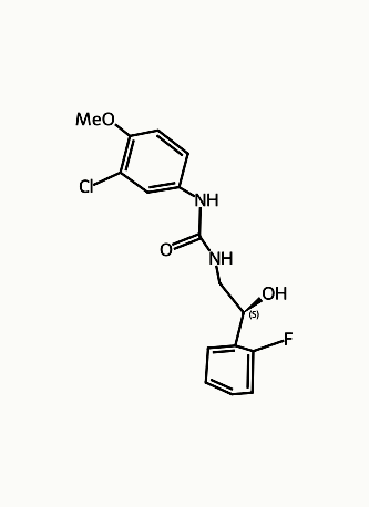 COc1ccc(NC(=O)NC[C@@H](O)c2ccccc2F)cc1Cl